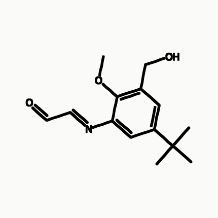 COc1c(CO)cc(C(C)(C)C)cc1N=CC=O